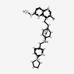 COc1ccc2ncc(F)c(CCC34CCC(NCc5ccc(N6CCCC6)nc5)(CC3)CO4)c2n1